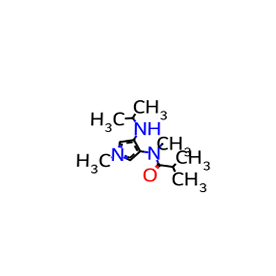 CC(C)Nc1cn(C)cc1N(C)C(=O)C(C)C